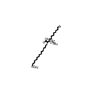 CCCCCCCCCCCCCCCCCCCCCCCC[C@@H](C(=O)OC)[C@@H](CCCCCCCCCBr)O[Si](C)(C)C(C)(C)C